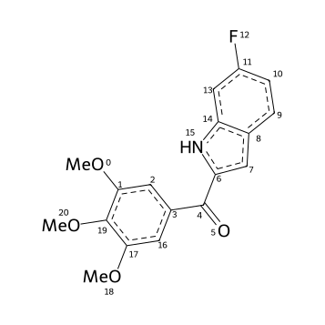 COc1cc(C(=O)c2cc3ccc(F)cc3[nH]2)cc(OC)c1OC